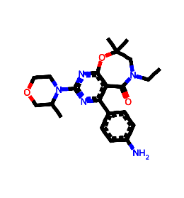 CCN1CC(C)(C)Oc2nc(N3CCOCC3C)nc(-c3ccc(N)cc3)c2C1=O